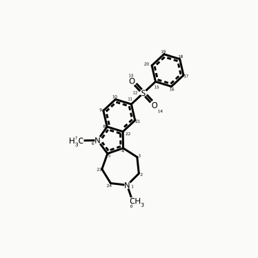 CN1CCc2c(n(C)c3ccc(S(=O)(=O)c4ccccc4)cc23)CC1